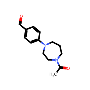 CC(=O)N1CCCN(c2ccc(C=O)cc2)CC1